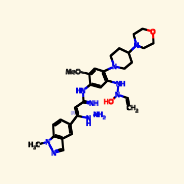 C=CN(O)Nc1cc(NC(=N)/C=C(\NN)c2ccc3c(cnn3C)c2)c(OC)cc1N1CCC(N2CCOCC2)CC1